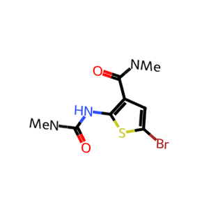 CNC(=O)Nc1sc(Br)cc1C(=O)NC